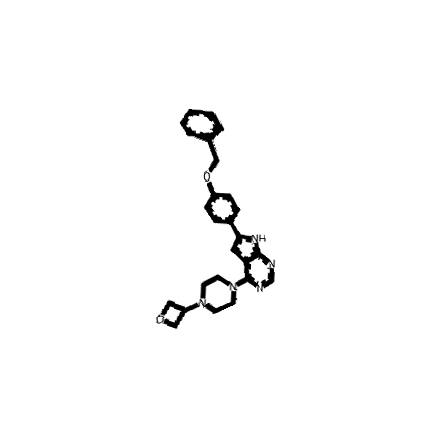 c1ccc(COc2ccc(-c3cc4c(N5CCN(C6COC6)CC5)ncnc4[nH]3)cc2)cc1